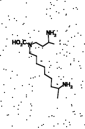 CC(N)CCCCCCCN(CCC(C)N)C(=O)O